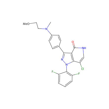 COCCN(C)c1ccc(-c2nn(-c3c(F)cccc3F)c3c(Cl)c[nH]c(=O)c23)cc1